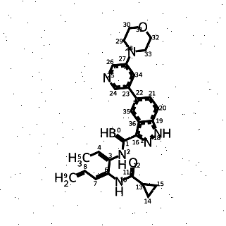 B=C(NC(=C/C)/C(=C\C=C)NC(=O)C1CC1)c1n[nH]c2ccc(-c3cncc(N4CCOCC4)c3)cc12